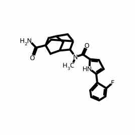 CN(C(=O)c1ccc(-c2ccccc2F)[nH]1)C1C2CC3CC1CC(C(N)=O)(C3)C2